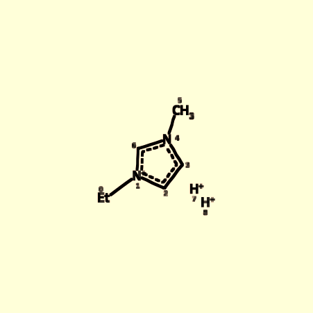 CC[n+]1ccn(C)c1.[H+].[H+]